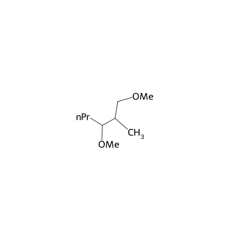 CCCC(OC)C(C)COC